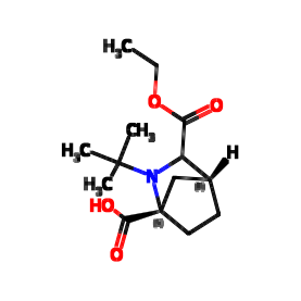 CCOC(=O)C1[C@@H]2CC[C@@](C(=O)O)(C2)N1C(C)(C)C